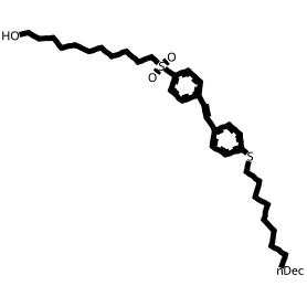 CCCCCCCCCCCCCCCCCCSc1ccc(C=Cc2ccc(S(=O)(=O)CCCCCCCCCCCO)cc2)cc1